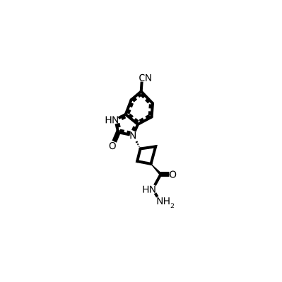 N#Cc1ccc2c(c1)[nH]c(=O)n2[C@H]1C[C@H](C(=O)NN)C1